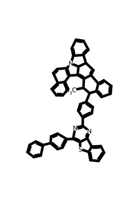 CC1C2=C3c4c(ccc5ccccc45)N4c5ccccc5C(C=C2c2ccccc2C1c1ccc(-c2nc(-c5ccc(-c6ccccc6)cc5)c5sc6ccccc6c5n2)cc1)C34